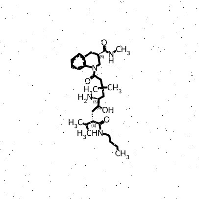 CCCCNC(=O)[C@@H](C[C@H](O)[C@@H](N)CC(C)(C)CC(=O)N1C[C@H](C(=O)NC)Cc2ccccc21)C(C)C